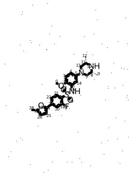 COc1ccc(N2C[C@@H](C)N[C@@H](C)C2)cc1NS(=O)(=O)c1ccc(-c2ccc(C)o2)cc1F